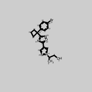 CC(CO)n1cc(-c2nc(C3(c4ccc(Br)cc4)CCC3)no2)cn1